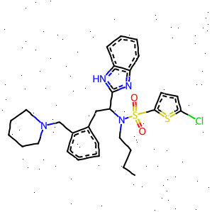 CCCCN(C(Cc1ccccc1CN1CCCCC1)c1nc2ccccc2[nH]1)S(=O)(=O)c1ccc(Cl)s1